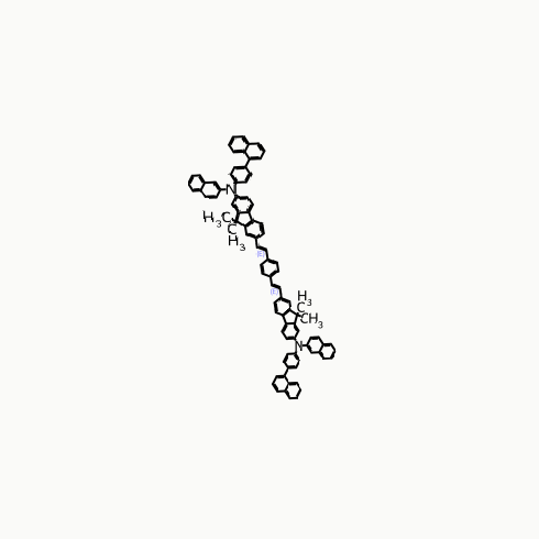 CC1(C)c2cc(/C=C/c3ccc(/C=C/c4ccc5c(c4)C(C)(C)c4cc(N(c6ccc(-c7cccc8ccccc78)cc6)c6ccc7ccccc7c6)ccc4-5)cc3)ccc2-c2ccc(N(c3ccc(-c4cccc5ccccc45)cc3)c3ccc4ccccc4c3)cc21